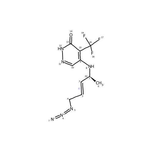 C[C@@H](/C=C/CN=[N+]=[N-])Nc1cn[nH]c(=O)c1C(F)(F)F